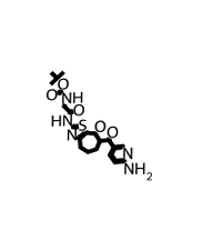 CC(C)(C)OC(=O)NCC(=O)Nc1nc2c(s1)C(=O)C(C(=O)c1ccc(N)nc1)CCC2